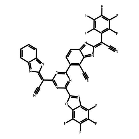 N#CC(=C1N=c2ccccc2=N1)c1nc(-c2nc3c(F)c(F)c(F)c(F)c3o2)nc(-c2ccc3c(c2C#N)=N/C(=C(\C#N)c2c(F)c(F)c(F)c(F)c2F)N=3)n1